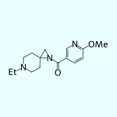 CCN1CCC2(CC1)CN2C(=O)c1ccc(OC)nc1